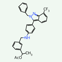 CC(=O)OC(C)c1cccc(CNc2ccc(-c3c4cccc(C(F)(F)F)c4nn3Cc3ccccc3)cc2)c1